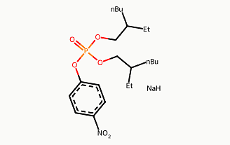 CCCCC(CC)COP(=O)(OCC(CC)CCCC)Oc1ccc([N+](=O)[O-])cc1.[NaH]